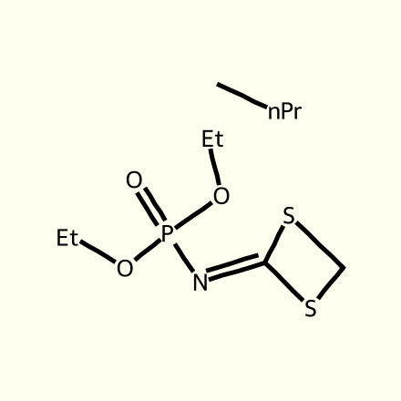 CCCC.CCOP(=O)(N=C1SCS1)OCC